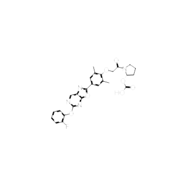 Cc1cc(-c2nc3cnc(Oc4ccccc4F)nc3o2)cc(C)c1OCC(=O)N1CCC[C@@H]1OC(=O)O